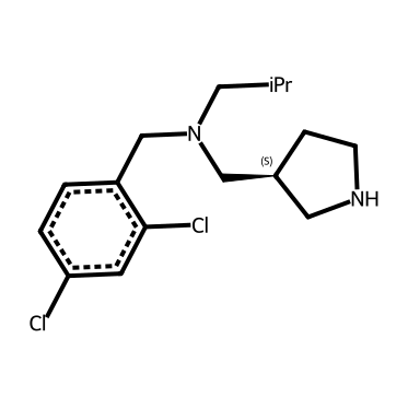 CC(C)CN(Cc1ccc(Cl)cc1Cl)C[C@H]1CCNC1